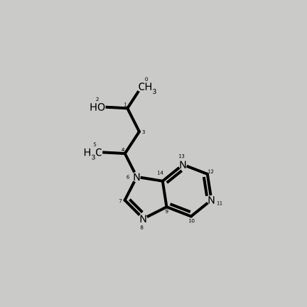 CC(O)CC(C)n1cnc2cncnc21